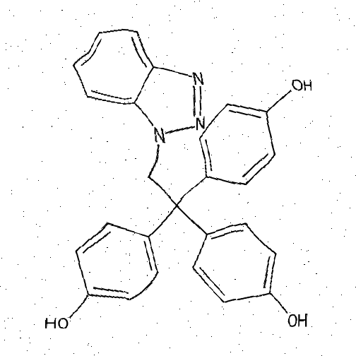 Oc1ccc(C(Cn2nnc3ccccc32)(c2ccc(O)cc2)c2ccc(O)cc2)cc1